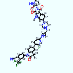 C=C1CCC(N2C(=O)c3c(n(C)c4cc(N5CCN(CC6CN(c7ccc(-c8ccc9c(c8)C(C)(C)C(=O)N9c8ccc(C#N)c(C(F)(F)F)c8)c(F)n7)C6)CC5)ccc34)C2=O)C(=O)N1